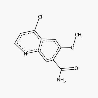 COc1cc2c(Cl)ccnc2cc1C(N)=O